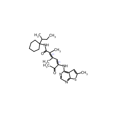 CCC(C)C1(NC(=O)/C(C)=C(C)/C=C(/Nc2ncnc3sc(C)cc23)C(C)=O)CCCCC1